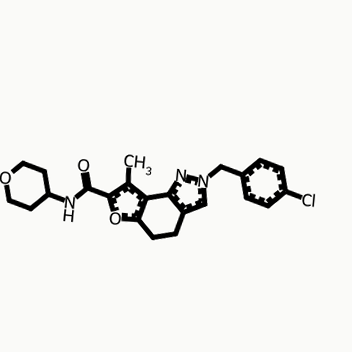 Cc1c(C(=O)NC2CCOCC2)oc2c1-c1nn(Cc3ccc(Cl)cc3)cc1CC2